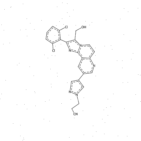 N#CCCn1cc(-c2cnc3ccn4c(CO)c(-c5c(Cl)cccc5Cl)nc4c3c2)cn1